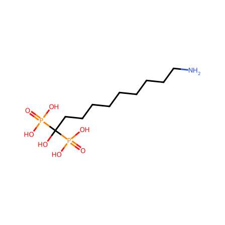 NCCCCCCCCCC(O)(P(=O)(O)O)P(=O)(O)O